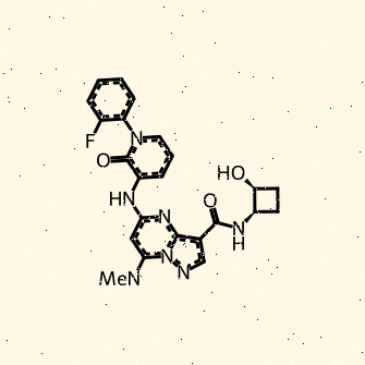 CNc1cc(Nc2cccn(-c3ccccc3F)c2=O)nc2c(C(=O)N[C@@H]3CC[C@@H]3O)cnn12